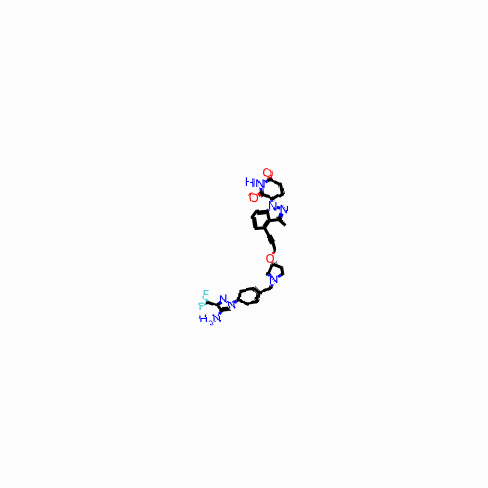 Cc1nn(C2CCC(=O)NC2=O)c2cccc(C#CCO[C@@H]3CCN(CC4CCC(n5cc(N)c(C(F)F)n5)CC4)C3)c12